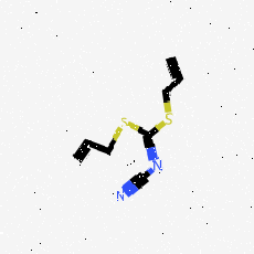 C=CCSC(=NC#N)SCC=C